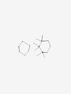 C1CCCCC1.CC1(C)CCCC(C)(C)C1(C)C